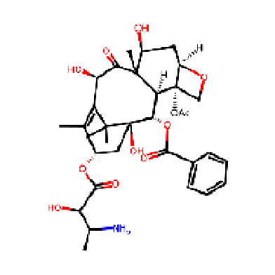 CC(=O)O[C@@]12CO[C@@H]1C[C@H](O)[C@@]1(C)C(=O)[C@H](O)C3=C(C)[C@@H](OC(=O)[C@H](O)[C@H](C)N)C[C@@](O)([C@@H](OC(=O)c4ccccc4)[C@H]21)C3(C)C